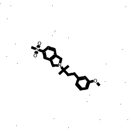 COc1cccc(CCC(C)(C)N2Cc3ccc(S(C)(=O)=O)cc3C2)c1